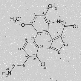 COc1cc(C)c2[nH]c(=O)c3sccc3c2c1-c1ccc(CCN)c(Cl)c1